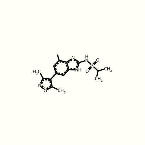 Cc1noc(C)c1-c1cc(I)c2nc(NS(=O)(=O)C(C)C)[nH]c2c1